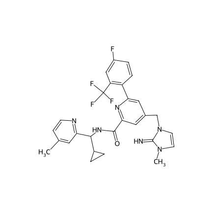 Cc1ccnc(C(NC(=O)c2cc(Cn3ccn(C)c3=N)cc(-c3ccc(F)cc3C(F)(F)F)n2)C2CC2)c1